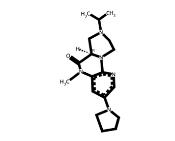 CC(C)N1CCN2c3ncc(N4CCCC4)cc3N(C)C(=O)[C@H]2C1